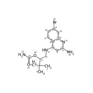 CC(C)(C)C(CNc1cc(N)nc2cc(Br)ccc12)OC(N)=O